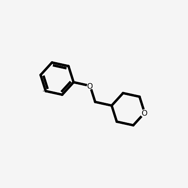 [c]1cccc(OCC2CCOCC2)c1